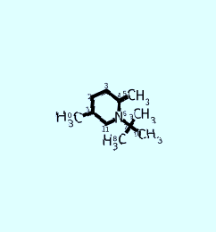 CC1CCC(C)N(C(C)(C)C)C1